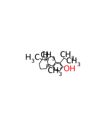 CC(C)c1c(O)ccc2c1CC[C@@H]1C(C)(C)CCC[C@]21C